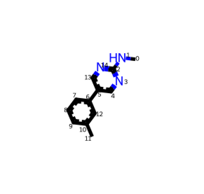 CNc1ncc(-c2cccc(C)c2)cn1